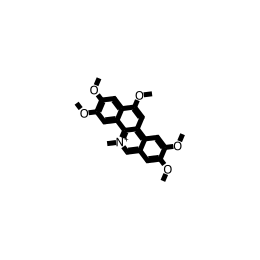 COc1cc2c[n+](C)c3c4cc(OC)c(OC)cc4c(OC)cc3c2cc1OC